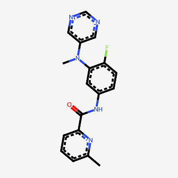 Cc1cccc(C(=O)Nc2ccc(F)c(N(C)c3cncnc3)c2)n1